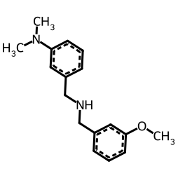 COc1cccc(CNCc2cccc(N(C)C)c2)c1